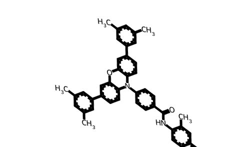 Cc1cc(C)cc(-c2ccc3c(c2)Oc2cc(-c4cc(C)cc(C)c4)ccc2N3c2ccc(C(=O)Nc3cc4ccccc4cc3C)cc2)c1